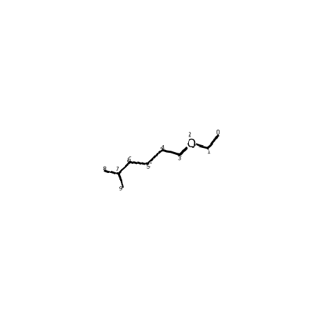 CCOCC[CH]CC(C)C